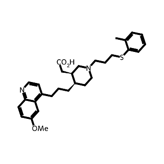 COc1ccc2nccc(CCC[C@@H]3CCN(CCCSc4ccccc4C)C[C@@H]3CC(=O)O)c2c1